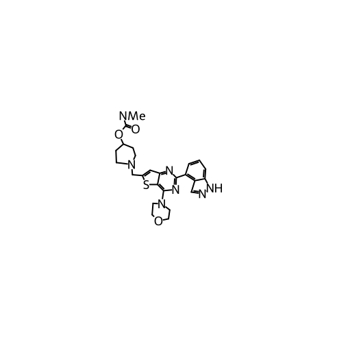 CNC(=O)OC1CCN(Cc2cc3nc(-c4cccc5[nH]ncc45)nc(N4CCOCC4)c3s2)CC1